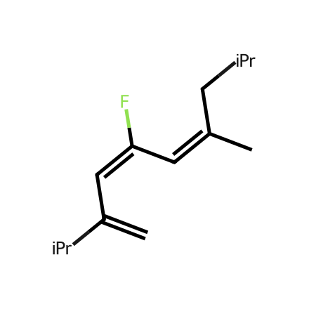 C=C(/C=C(F)\C=C(\C)CC(C)C)C(C)C